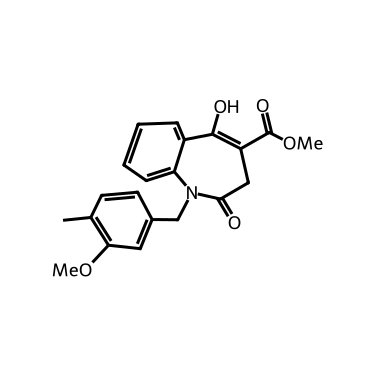 COC(=O)C1=C(O)c2ccccc2N(Cc2ccc(C)c(OC)c2)C(=O)C1